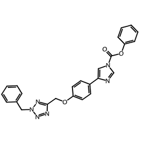 O=C(Oc1ccccc1)n1cnc(-c2ccc(OCc3nnn(Cc4ccccc4)n3)cc2)c1